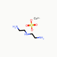 NCCNCCN.O=S(=O)([O-])[O-].[Cu+2]